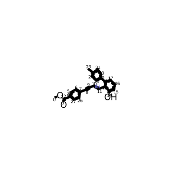 COC(=O)c1ccc(C#C/C=C/c2c(O)cccc2-c2ccc(C)cc2)cc1